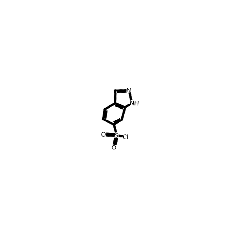 O=S(=O)(Cl)c1ccc2cn[nH]c2c1